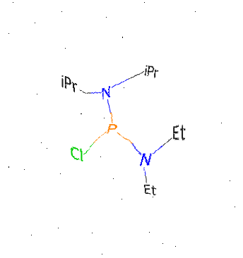 CCN(CC)P(Cl)N(C(C)C)C(C)C